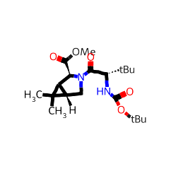 COC(=O)[C@@H]1C2[C@H](CN1C(=O)[C@@H](NC(=O)OC(C)(C)C)C(C)(C)C)C2(C)C